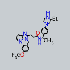 CCC1CN(c2ccc([C@H](C)NC(=O)CCc3nc4cccnc4n3Cc3ccc(OC(F)(F)F)cc3)cc2)CCN1